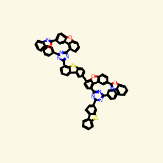 c1ccc(-c2nc(-c3cccc4c3sc3ccc(-c5ccc(-c6nc(-c7ccccc7)nc(-c7ccc8c(c7)sc7ccccc78)n6)c6c5oc5ccc(-c7nc8ccccc8o7)cc56)cc34)nc(-c3cccc4oc5ccc(-c6nc7ccccc7o6)cc5c34)n2)cc1